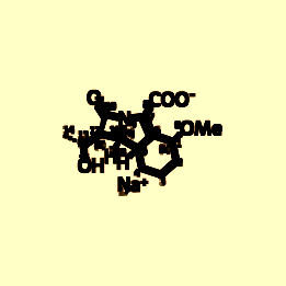 CO[C@H]1CCC[C@H]2C1=C(C(=O)[O-])N1C(=O)[C@H]([C@@H](C)O)[C@@H]21.[Na+]